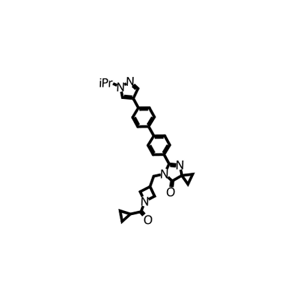 CC(C)n1cc(-c2ccc(-c3ccc(C4=NC5(CC5)C(=O)N4CC4CN(C(=O)C5CC5)C4)cc3)cc2)cn1